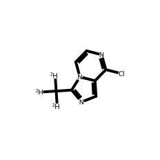 [2H]C([2H])([2H])c1ncc2c(Cl)nccn12